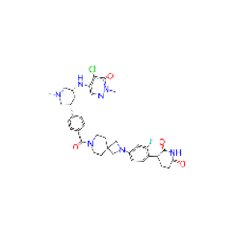 CN1C[C@H](Nc2cnn(C)c(=O)c2Cl)C[C@H](c2ccc(C(=O)N3CCC4(CC3)CN(c3ccc(C5CCC(=O)NC5=O)c(F)c3)C4)cc2)C1